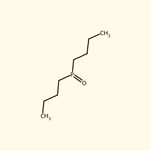 CCCC[P](=O)CCCC